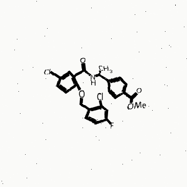 COC(=O)c1ccc([C@H](C)NC(=O)c2cc(Cl)ccc2OCc2ccc(F)cc2Cl)cc1